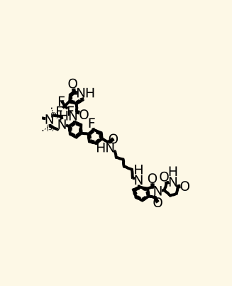 C[C@@H]1CN(c2ccc(-c3ccc(C(=O)NCCCCCCNc4cccc5c4C(=O)N(C4CCC(=O)NC4=O)C5=O)cc3F)cc2NC(=O)c2c[nH]c(=O)cc2C(F)(F)F)C[C@H](C)N1C